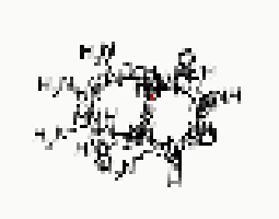 C[C@@H]1NC(=O)[C@@H]2CSS[C@H](NC(=O)[C@H](Cc3c[nH]c4ccccc34)NC(=O)[C@H](CCCCN)NC(=O)[C@H](CCCCN)NC(=O)[C@H](CCCCN)NC1=O)C(=O)N[C@H](CCCCN)C(=O)N[C@@H](Cc1c[nH]cn1)C(=O)N[C@H](Cc1ccccc1)C(=O)N[C@@H](Cc1c[nH]cn1)C(=O)N[C@@H](Cc1c[nH]c3ccccc13)C(=O)N2